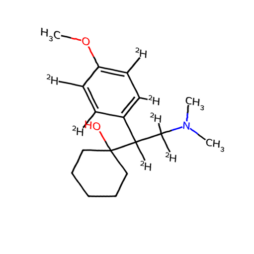 [2H]c1c([2H])c(C([2H])(C2(O)CCCCC2)C([2H])([2H])N(C)C)c([2H])c([2H])c1OC